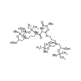 CCCCCCCCCCC(CN(CCCOC(=O)C(NC(=O)OC(C)(C)C)C(=O)OCCCN(CC(CCCCCCCCCC)O[Si](C)(C)C(C)(C)C)CC(CCCCCCCCCC)O[Si](C)(C)C(C)(C)C)CC(CCCCCCCCCC)O[Si](C)(C)C(C)(C)C)O[Si](C)(C)C(C)(C)C